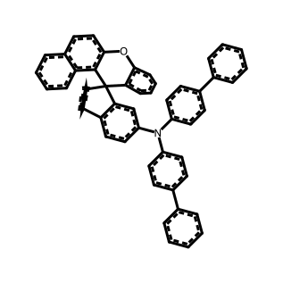 c1ccc(-c2ccc(N(c3ccc(-c4ccccc4)cc3)c3ccc4c(c3)C3(c5ccccc5Oc5ccc6ccccc6c53)c3ccccc3-4)cc2)cc1